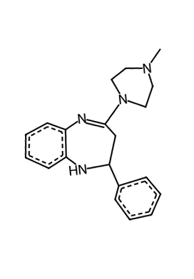 CN1CCN(C2=Nc3ccccc3NC(c3ccccc3)C2)CC1